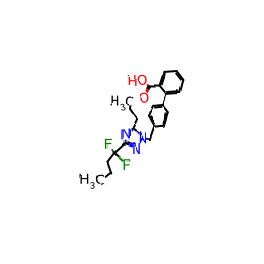 CCCc1nc(C(F)(F)CCC)nn1Cc1ccc(-c2ccccc2C(=O)O)cc1